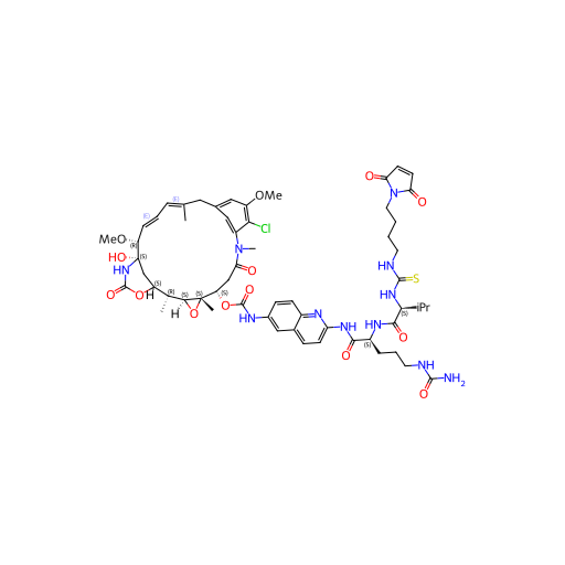 COc1cc2cc(c1Cl)N(C)C(=O)C[C@H](OC(=O)Nc1ccc3nc(NC(=O)[C@H](CCCNC(N)=O)NC(=O)[C@@H](NC(=S)NCCCCN4C(=O)C=CC4=O)C(C)C)ccc3c1)[C@]1(C)O[C@H]1[C@H](C)[C@@H]1C[C@@](O)(NC(=O)O1)[C@H](OC)/C=C/C=C(\C)C2